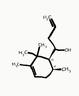 C=CCC(O)[C@H]1[C@@H](C)CC=C(C)C1(C)C